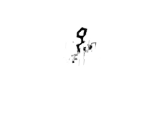 CC(C)(C)[Si](C)(C)OC[C@@H](N)[C@@H](NS(C)(=O)=O)c1ccccc1